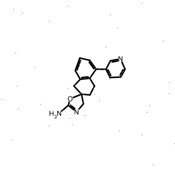 NC1=NCC2(CCc3c(cccc3-c3cccnc3)C2)O1